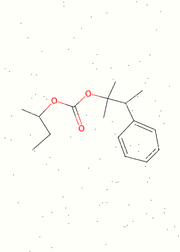 CCC(C)OC(=O)OC(C)(C)C(C)c1ccccc1